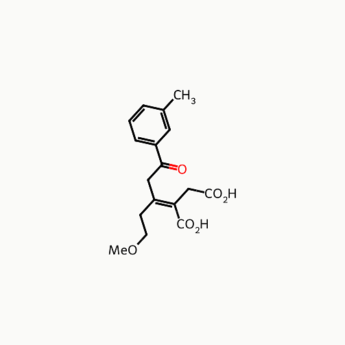 COCCC(CC(=O)c1cccc(C)c1)=C(CC(=O)O)C(=O)O